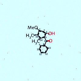 COc1cc(O)c(C(=O)c2ccccc2)c(C)c1C